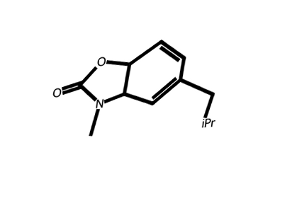 CC(C)CC1=CC2C(C=C1)OC(=O)N2C